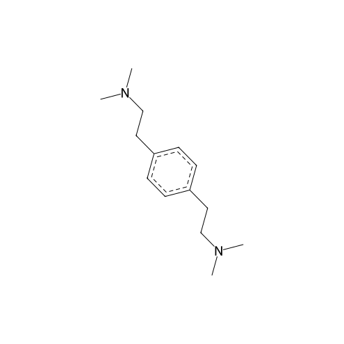 CN(C)CCc1ccc(CCN(C)C)cc1